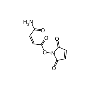 NC(=O)/C=C\C(=O)ON1C(=O)C=CC1=O